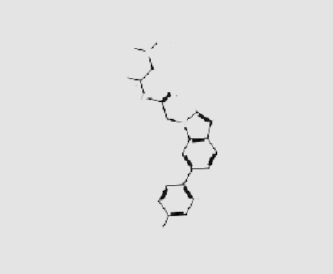 Cc1ccc(-c2ccc3ccn(CC(=O)NC(C)CN(C)C)c3c2)cc1